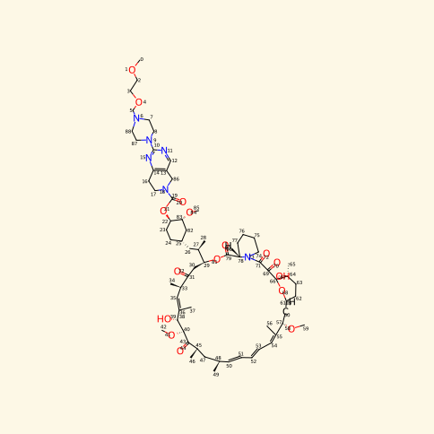 COCCOCN1CCN(c2ncc3c(n2)CCN(C(=O)O[C@@H]2CC[C@@H](C[C@@H](C)[C@@H]4CC(=O)[C@H](C)/C=C(\C)[C@@H](O)[C@@H](OC)C(=O)[C@H](C)C[C@H](C)/C=C/C=C/C=C(\C)[C@@H](OC)C[C@@H]5CC[C@@H](C)[C@@](O)(O5)C(=O)C(=O)N5CCCC[C@H]5C(=O)O4)C[C@H]2OC)C3)CC1